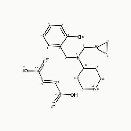 Clc1ccccc1CN(CC1CC1)C1CCNCC1.O=C(O)C=CC(=O)O